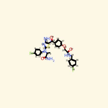 CC(C(N)=O)N(c1ccc(F)cc1)c1nc(N)c(C(=O)c2ccc(OCC(=O)NCc3ccc(F)cc3)cc2)s1